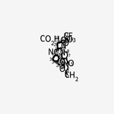 C=CCN(C(=O)C1CCN(c2nc(OS(=O)(=O)C(F)(F)F)c(C(=O)O)cc2C#N)CC1)S(=O)(=O)Cc1ccccc1